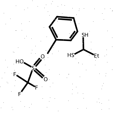 CCC(S)S.Cc1ccccc1.O=S(=O)(O)C(F)(F)F